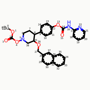 CC(C)(C)OC(=O)ON1CCC(c2ccc(OC(=O)Nc3ccccn3)cc2)C(OCc2ccc3ccccc3c2)C1